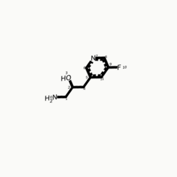 NCC(O)Cc1cncc(F)c1